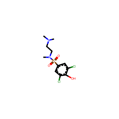 CN(C)CCN(C)S(=O)(=O)c1cc(Cl)c(O)c(Cl)c1